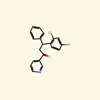 O=C(CC(c1ccccc1)c1ccc(Cl)cc1Cl)c1cccnc1